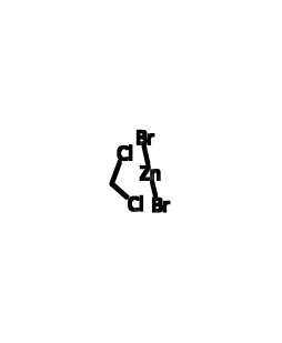 ClCCl.[Br][Zn][Br]